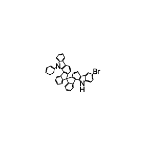 Brc1ccc2[nH]c3c4c(ccc3c2c1)C1(c2ccccc2-4)c2ccccc2-c2c1ccc1c3ccccc3n(C3=CC=CCC3)c21